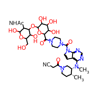 CC(=O)NC1C(O)OC(CO)C(O)C1OC1OC(C(=O)N2CCN(C(=O)n3ccc4c(N(C)[C@H]5CN(C(=O)CC#N)CC[C@H]5C)ncnc43)CC2)C(O)C(O)C1O